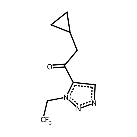 O=C(CC1CC1)c1cnnn1CC(F)(F)F